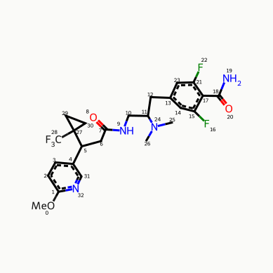 COc1ccc(C(CC(=O)NCC(Cc2cc(F)c(C(N)=O)c(F)c2)N(C)C)C2(C(F)(F)F)CC2)cn1